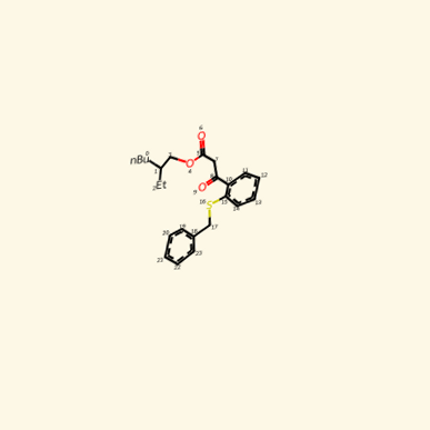 CCCCC(CC)COC(=O)CC(=O)c1ccccc1SCc1ccccc1